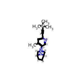 Cc1cc(C#C[Si](C)(C)C)ncc1N1CC2CCC(C1)N2